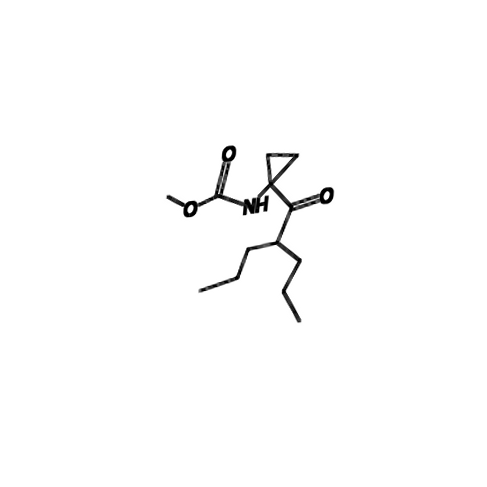 CCCC(CCC)C(=O)C1(NC(=O)OC)CC1